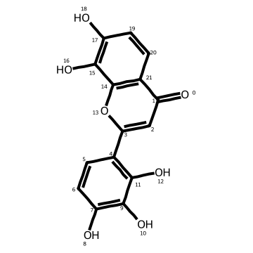 O=c1cc(-c2ccc(O)c(O)c2O)oc2c(O)c(O)ccc12